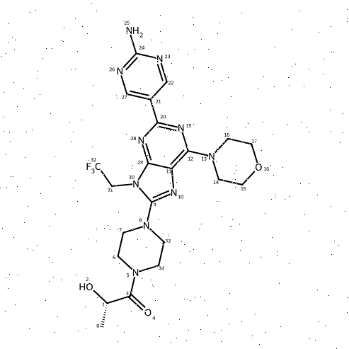 C[C@H](O)C(=O)N1CCN(c2nc3c(N4CCOCC4)nc(-c4cnc(N)nc4)nc3n2CC(F)(F)F)CC1